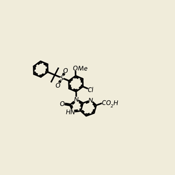 COc1cc(Cl)c(-n2c(=O)[nH]c3ccc(C(=O)O)nc32)cc1S(=O)(=O)C(C)(C)c1ccccc1